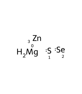 [MgH2].[S].[Se].[Zn]